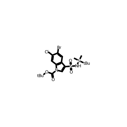 CC(C)(C)OC(=O)n1cc(S(=O)(=O)N[Si](C)(C)C(C)(C)C)c2cc(Br)c(Cl)cc21